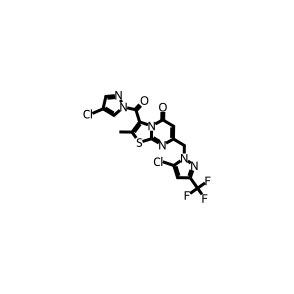 Cc1sc2nc(Cn3nc(C(F)(F)F)cc3Cl)cc(=O)n2c1C(=O)n1cc(Cl)cn1